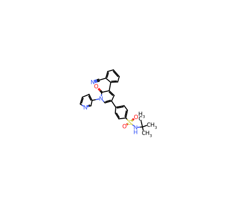 CC(C)(C)NS(=O)(=O)c1ccc(-c2cc(-c3ccccc3C#N)c(=O)n(-c3cccnc3)c2)cc1